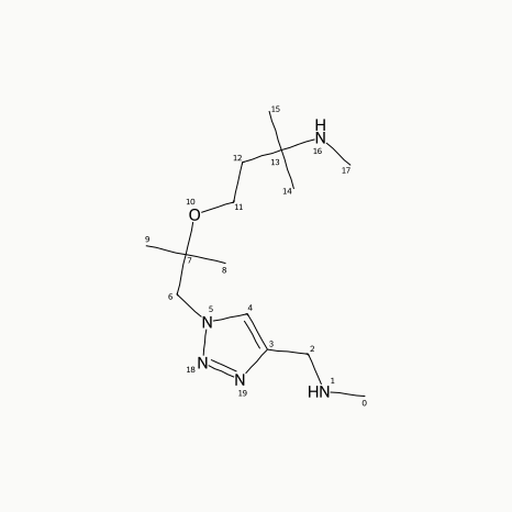 CNCc1cn(CC(C)(C)OCCC(C)(C)NC)nn1